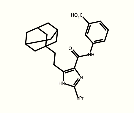 CCCc1nc(C(=O)Nc2cccc(C(=O)O)c2)c(CCC23CC4CC(CC(C4)C2)C3)[nH]1